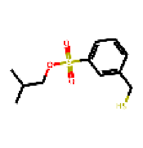 CC(C)COS(=O)(=O)c1cccc(CS)c1